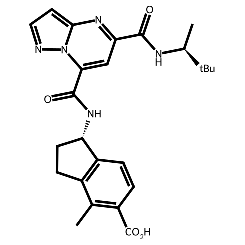 Cc1c(C(=O)O)ccc2c1CC[C@@H]2NC(=O)c1cc(C(=O)N[C@@H](C)C(C)(C)C)nc2ccnn12